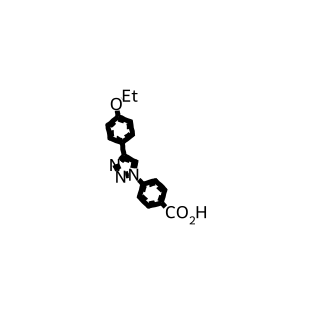 CCOc1ccc(-c2cn(-c3ccc(C(=O)O)cc3)nn2)cc1